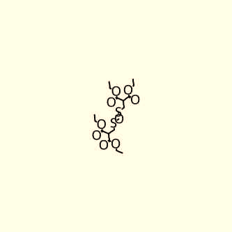 CCOC(=O)C(CSOSCC(C(=O)OCC)C(=O)OCC)C(=O)OCC